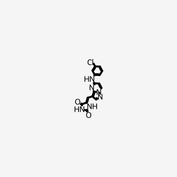 O=C1NC(=O)/C(=C/c2cnn3ccc(Nc4cccc(Cl)c4)nc23)N1